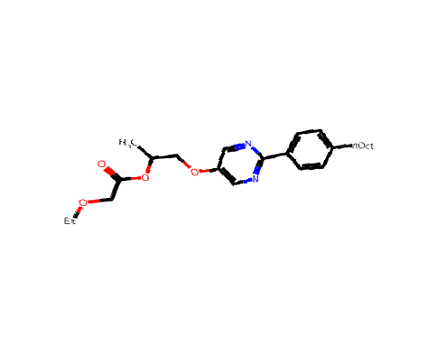 CCCCCCCCc1ccc(-c2ncc(OCC(C)OC(=O)COCC)cn2)cc1